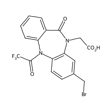 O=C(O)CN1C(=O)c2ccccc2N(C(=O)C(F)(F)F)c2ccc(CBr)cc21